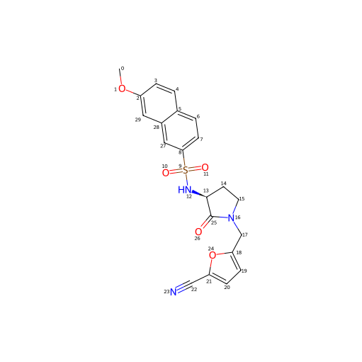 COc1ccc2ccc(S(=O)(=O)N[C@H]3CCN(Cc4ccc(C#N)o4)C3=O)cc2c1